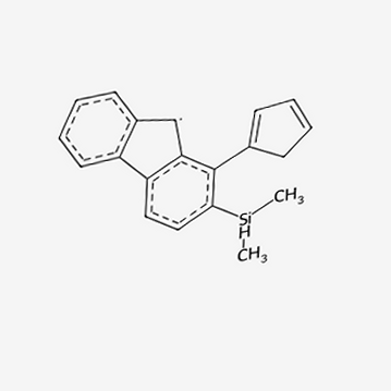 C[SiH](C)c1ccc2c(c1C1=CC=CC1)[CH]c1ccccc1-2